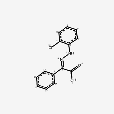 O=C(O)C(=NNc1ccccc1Cl)c1ccccc1